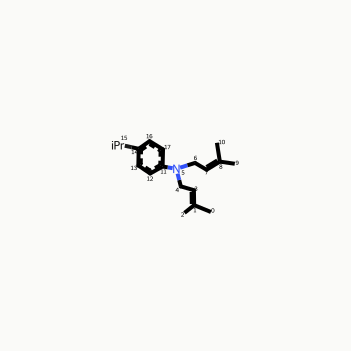 CC(C)=CCN(CC=C(C)C)c1ccc(C(C)C)cc1